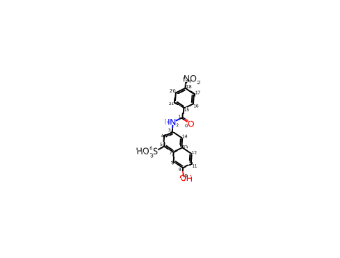 O=C(Nc1cc(S(=O)(=O)O)c2cc(O)ccc2c1)c1ccc([N+](=O)[O-])cc1